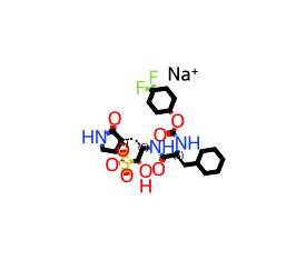 O=C(N[C@@H](CC1CCCCC1)C(=O)N[C@@H](C[C@@H]1CCNC1=O)C(O)S(=O)(=O)[O-])OC1CCC(F)(F)CC1.[Na+]